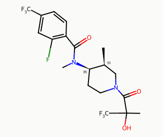 C[C@H]1CN(C(=O)C(C)(O)C(F)(F)F)CC[C@H]1N(C)C(=O)c1ccc(C(F)(F)F)cc1F